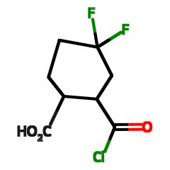 O=C(O)C1CCC(F)(F)CC1C(=O)Cl